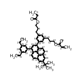 C=CC(=O)OCCCc1cc(CCCOC(=O)C=C)cc(-c2cc(-c3cc(C=C)cc(C=C)c3)c3ccc4cc(C(C)(C)C)cc5ccc2c3c45)c1